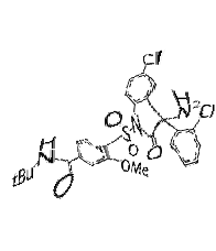 COc1cc(C(=O)NC(C)(C)C)ccc1S(=O)(=O)N1C(=O)C(N)(c2ccccc2Cl)c2cc(Cl)ccc21